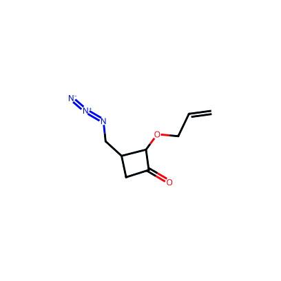 C=CCOC1C(=O)CC1CN=[N+]=[N-]